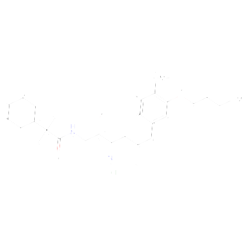 COCCCOc1cc(C[C@@H](C[C@H](N)[C@@H](O)CNC(=O)C(C)(C)C2CCCCC2)C(C)C)ccc1OC.Cl